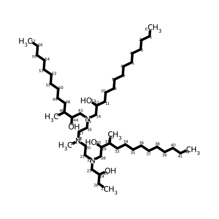 CCCCCCCCCCCCC(O)CN(CCN(C)CCN(CC(O)CC)CC(O)C(C)CCCCCCCCCC)CC(O)C(C)CCCCCCCCCC